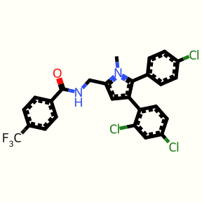 Cn1c(CNC(=O)c2ccc(C(F)(F)F)cc2)cc(-c2ccc(Cl)cc2Cl)c1-c1ccc(Cl)cc1